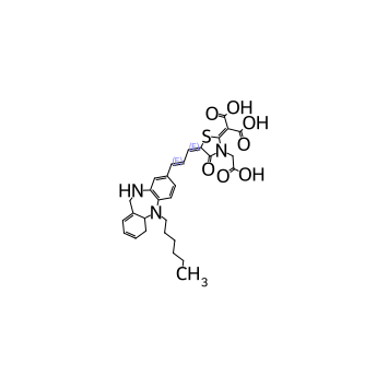 CCCCCCN1c2ccc(/C=C/C=c3/sc(=C(C(=O)O)C(=O)O)n(CC(=O)O)c3=O)cc2NCC2=CC=CCC21